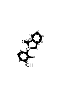 Cc1c(O)cccc1N1Cc2ccccc2C1=O